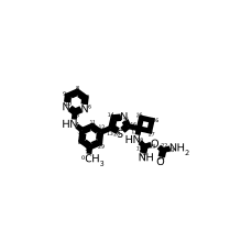 Cc1cc(Nc2ncccn2)cc(-c2cnc(C3(NC(=N)OC(N)=O)CCC3)s2)c1